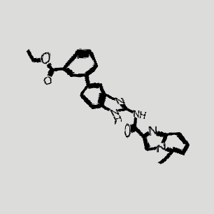 CCOC(=O)c1cccc(-c2ccc3[nH]c(NC(=O)c4cn5c(C)cccc5n4)nc3c2)c1